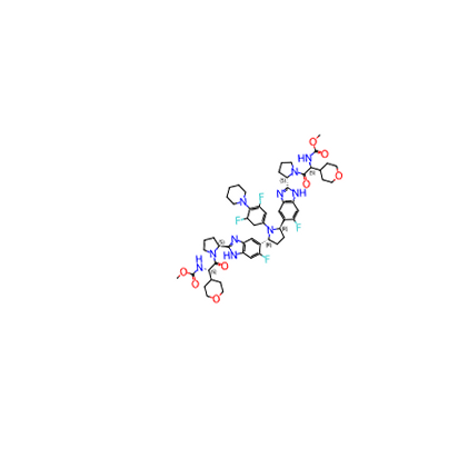 COC(=O)N[C@H](C(=O)N1CCC[C@H]1c1nc2cc([C@H]3CC[C@H](c4cc5nc([C@@H]6CCCN6C(=O)[C@@H](NC(=O)OC)C6CCOCC6)[nH]c5cc4F)N3C3=CC(F)=C(N4CCCCC4)C(F)C3)c(F)cc2[nH]1)C1CCOCC1